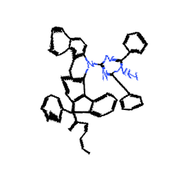 C=C(/C=C\C=C/C)C1(c2ccccc2)c2ccccc2-c2c1ccc1c3c4ccccc4ccc3n(C3=NC(c4ccccc4)NC(c4ccccc4)=N3)c21